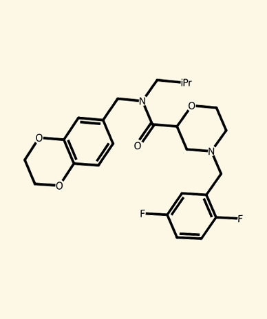 CC(C)CN(Cc1ccc2c(c1)OCCO2)C(=O)C1CN(Cc2cc(F)ccc2F)CCO1